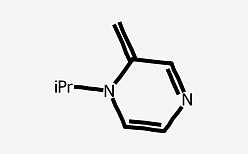 C=C1C=NC=CN1C(C)C